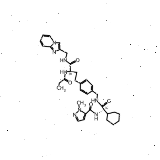 CCC(=O)N[C@H](CCc1ccc(CNC(=O)[C@@H](NC(=O)c2ccnn2C)C2CCCCC2)cc1)C(=O)NCc1cn2ccccc2n1